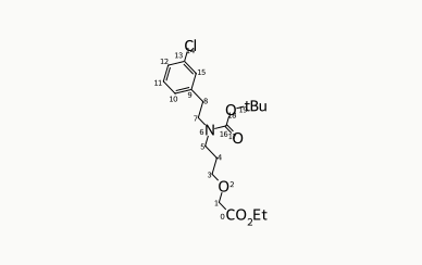 CCOC(=O)COCCCN(CCc1cccc(Cl)c1)C(=O)OC(C)(C)C